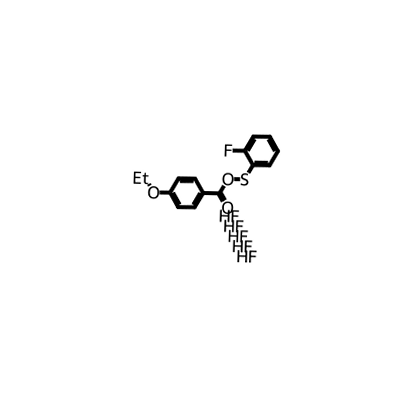 CCOc1ccc(C(=O)OSc2ccccc2F)cc1.F.F.F.F.F